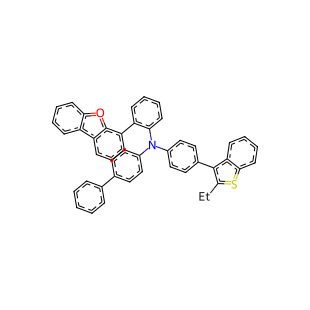 CCc1sc2ccccc2c1-c1ccc(N(c2ccc(-c3ccccc3)cc2)c2ccccc2-c2cccc3c2oc2ccccc23)cc1